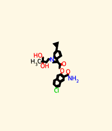 C[C@](O)(CO)CCn1cc(C(=O)COc2cc3ccc(Cl)cc3cc2C(N)=O)c2ccc(C3CC3)cc21